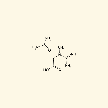 CN(CC(=O)O)C(=N)N.NC(N)=O